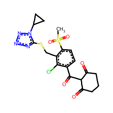 CS(=O)(=O)c1ccc(C(=O)C2C(=O)CCCC2=O)c(Cl)c1CSc1nnnn1C1CC1